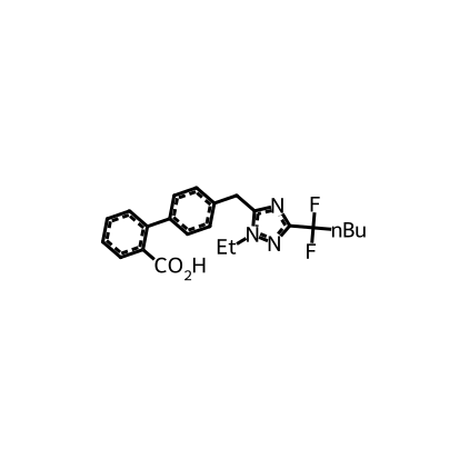 CCCCC(F)(F)c1nc(Cc2ccc(-c3ccccc3C(=O)O)cc2)n(CC)n1